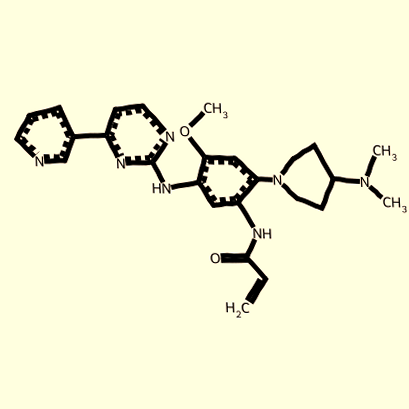 C=CC(=O)Nc1cc(Nc2nccc(-c3cccnc3)n2)c(OC)cc1N1CCC(N(C)C)CC1